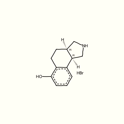 Br.Oc1cccc2c1CC[C@H]1CNC[C@@H]21